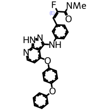 CNC(=O)/C(F)=C\c1cccc(Nc2n[nH]c3nccc(Oc4ccc(Oc5ccccc5)cc4)c23)c1